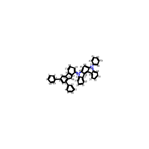 c1ccc(-c2cc(-c3ccccc3)c3c(c2)-c2cccc(-n4c5ccccc5c5c6c7ccccc7n(-c7ccccc7)c6ccc54)c2C3)cc1